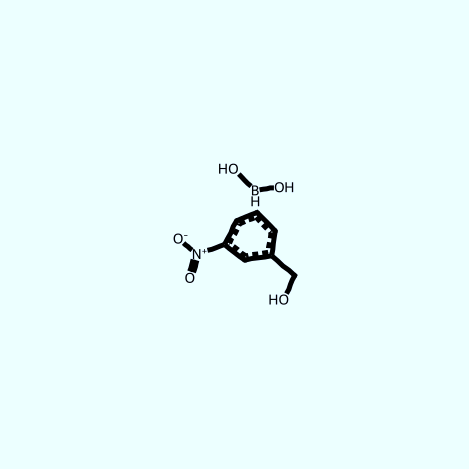 O=[N+]([O-])c1cccc(CO)c1.OBO